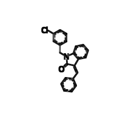 O=C1/C(=C\c2ccccc2)c2ccccc2N1Cc1cccc(Cl)c1